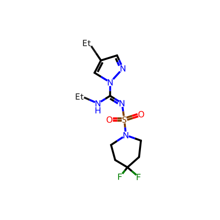 CCN/C(=N\S(=O)(=O)N1CCC(F)(F)CC1)n1cc(CC)cn1